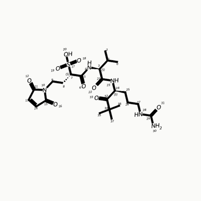 CC(C)[C@H](NC(=O)[C@H](CCN1C(=O)C=CC1=O)S(=O)(=O)O)C(=O)N[C@@H](CCCNC(N)=O)C(=O)C(C)(C)C